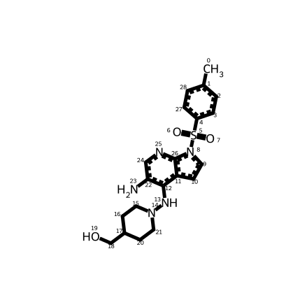 Cc1ccc(S(=O)(=O)n2ccc3c(NN4CCC(CO)CC4)c(N)cnc32)cc1